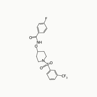 O=C(NOC1CCN(S(=O)(=O)c2cccc(C(F)(F)F)c2)CC1)c1ccc(F)cc1